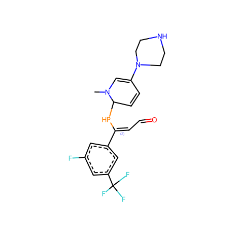 CN1C=C(N2CCNCC2)C=CC1P/C(=C\C=O)c1cc(F)cc(C(F)(F)F)c1